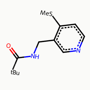 CSc1ccncc1CNC(=O)C(C)(C)C